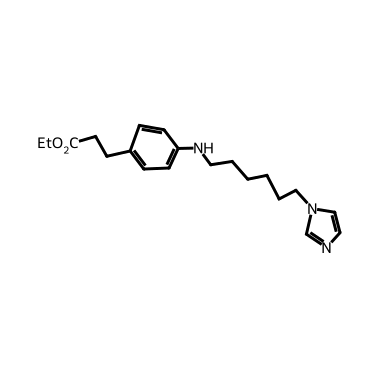 CCOC(=O)CCc1ccc(NCCCCCCn2ccnc2)cc1